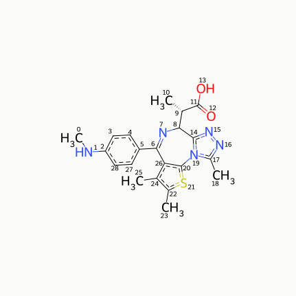 CNc1ccc(C2=NC([C@H](C)C(=O)O)c3nnc(C)n3-c3sc(C)c(C)c32)cc1